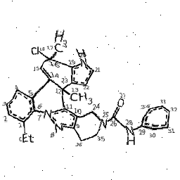 CCc1cccc2c1-n1nc3c(c1C1(C)C2=CC(C)(Cl)c2[nH]ccc21)CN(C(=O)Nc1ccccc1)CC3